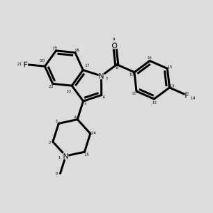 CN1CCC(c2cn(C(=O)c3ccc(F)cc3)c3ccc(F)cc23)CC1